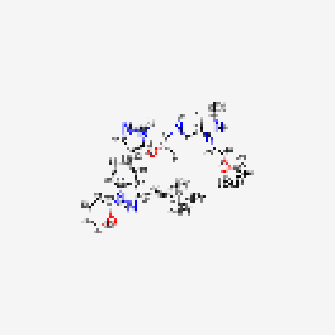 CCc1cc(CN(C)CC(C)Oc2c(-c3ccc4c(c3)c(C#C[Si](C(C)C)(C(C)C)C(C)C)nn4C3CCCCO3)cnn2C)n(CCO[Si](C)(C)C(C)(C)C)n1